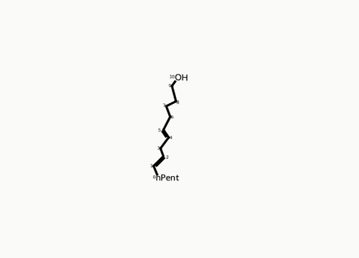 CCCCCC=CCC=CCCCCO